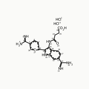 Cl.Cl.N=C(N)c1ccc(-c2[nH]c3cc(C(=N)N)ccc3c2NC(=O)CCC(=O)O)cc1